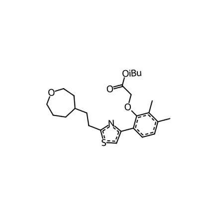 Cc1ccc(-c2csc(CCC3CCCOCC3)n2)c(OCC(=O)OCC(C)C)c1C